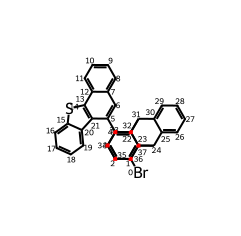 Brc1ccc(-c2cc3ccccc3c3sc4ccccc4c23)c2c1C1c3ccccc3C2c2ccccc21